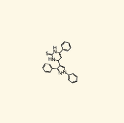 S=C1NC(c2ccccc2)=CC(c2cn(-c3ccccc3)nc2-c2ccccc2)N1